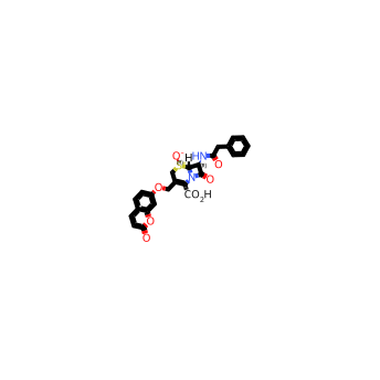 O=C(Cc1ccccc1)N[C@@H]1C(=O)N2C(C(=O)O)=C(COc3ccc4ccc(=O)oc4c3)C[S@+]([O-])[C@H]12